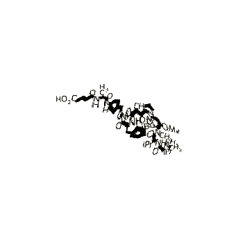 CC[C@H](C)[C@@H]([C@@H](CC(=O)N1CCC[C@H]1[C@H](OC)[C@@H](C)C(=O)N[C@@H](Cc1ccccc1)C(=O)NOCc1ccc(NC(=O)[C@@H](C)NC(=O)CCCC(=O)O)cc1)OC)N(C)C(=O)[C@@H](NC(=O)C(C(C)C)N(C)C)C(C)C